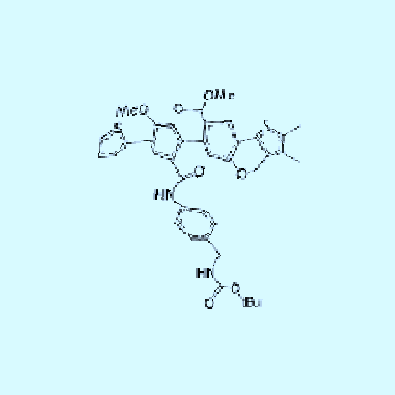 COC(=O)c1cc2c(cc1-c1cc(OC)c(-c3cccs3)cc1C(=O)Nc1ccc(CNC(=O)OC(C)(C)C)cc1)OCc1c-2sc(C)c1C